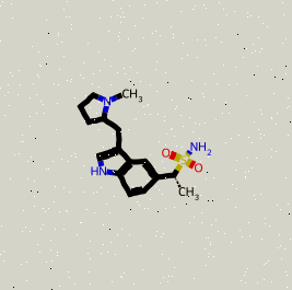 C[C@H](c1ccc2[nH]cc(CC3CCCN3C)c2c1)S(N)(=O)=O